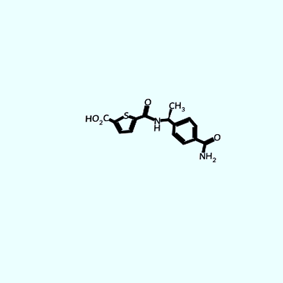 C[C@H](NC(=O)c1ccc(C(=O)O)s1)c1ccc(C(N)=O)cc1